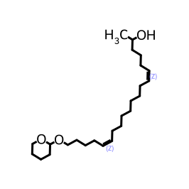 CC(O)CCC/C=C\CCCCCCC/C=C\CCCCOC1CCCCO1